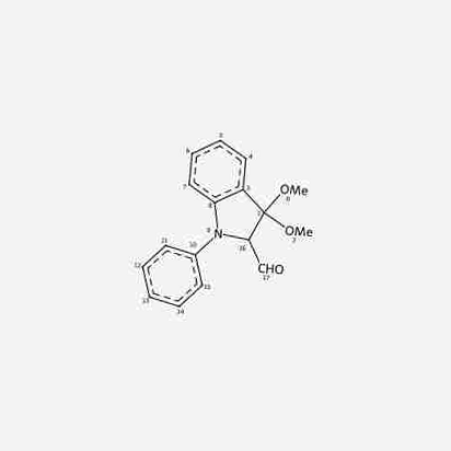 COC1(OC)c2ccccc2N(c2ccccc2)C1C=O